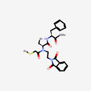 CNC(=O)[C@H](Cc1ccccc1)NC(=O)[C@H](CC(C)C)N(CCN1C(=O)c2ccccc2C1=O)C(=O)CSC(C)=O